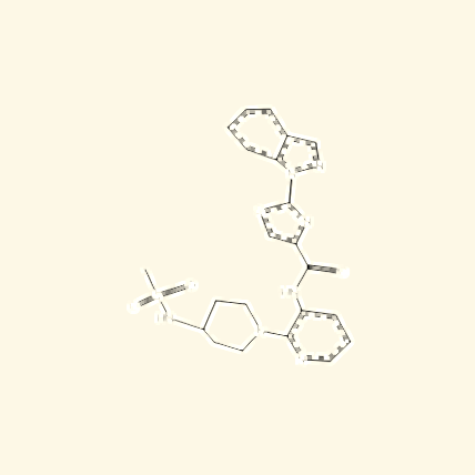 CS(=O)(=O)NC1CCN(c2ncccc2NC(=O)c2csc(-n3ncc4ccccc43)n2)CC1